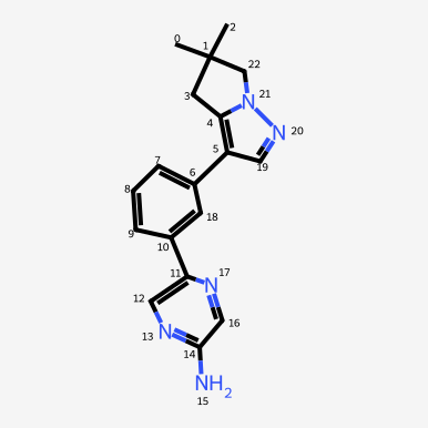 CC1(C)Cc2c(-c3cccc(-c4cnc(N)cn4)c3)cnn2C1